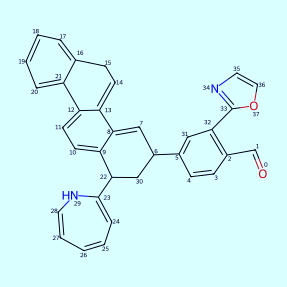 O=Cc1ccc(C2C=c3c(ccc4c3=CCc3ccccc3-4)C(C3=CC=CC=CN3)C2)cc1-c1ncco1